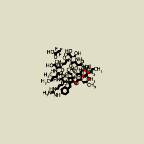 CCC(C)[C@H](NC(=O)[C@@H](CCCNC(=N)N)NC(=O)[C@@](CC(C)C)(C(=O)C(N)CC1CCCCC1)N(C(=O)C(N)CC(C)C)C(=O)[C@H](CC(C)C)NC(=O)C(N)CC(C)C)C(=O)NC(C(=O)NCC(=O)N(C(=O)C(N)[C@H](O)C(N)=O)[C@H](CO)C(=O)O)C(C)O.O=C(O)C(F)(F)F